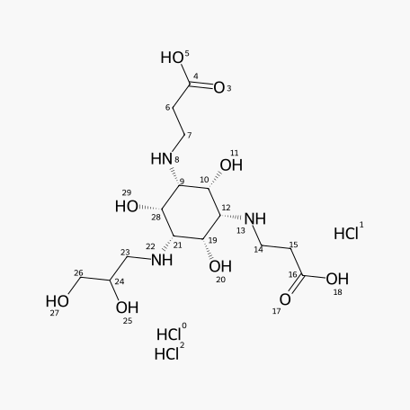 Cl.Cl.Cl.O=C(O)CCN[C@@H]1[C@H](O)[C@H](NCCC(=O)O)[C@H](O)[C@H](NCC(O)CO)[C@@H]1O